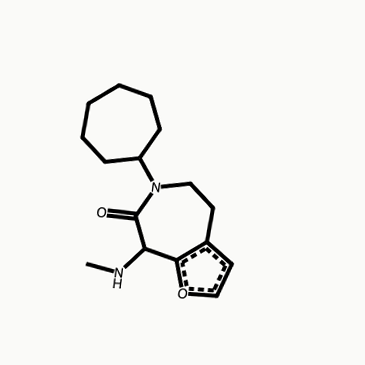 CNC1C(=O)N(C2CCCCCC2)CCc2ccoc21